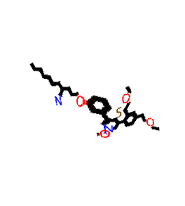 CCCCCCCC(C#N)CCCOc1cccc(-c2cn(OC)cc(-c3ccc(CCOCC)cc3CCOCC)c2=S)c1